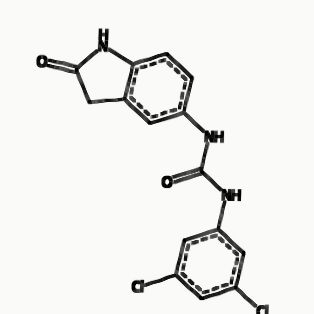 O=C1Cc2cc(NC(=O)Nc3cc(Cl)cc(Cl)c3)ccc2N1